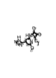 CCOc1c(Nc2cc(-c3nnn[nH]3)cc(OC)n2)c(=O)c1=O